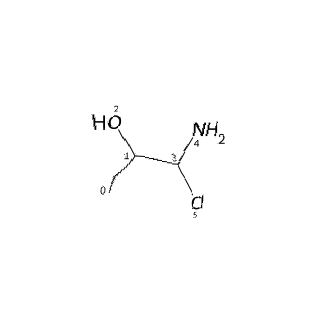 CC(O)C(N)Cl